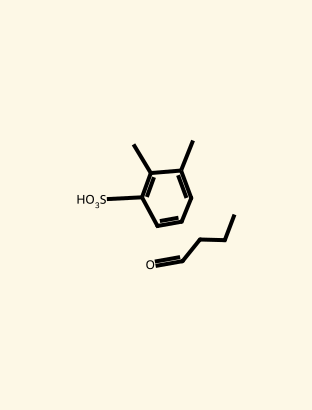 CCCC=O.Cc1cccc(S(=O)(=O)O)c1C